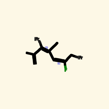 C=C(C)/C(=C(C)\C=C(\F)CC(C)C)C(C)C